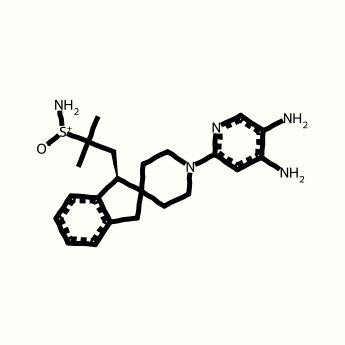 CC(C)(C[C@@H]1c2ccccc2CC12CCN(c1cc(N)c(N)cn1)CC2)[S+](N)[O-]